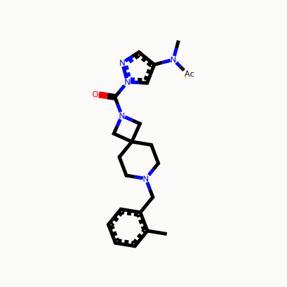 CC(=O)N(C)c1cnn(C(=O)N2CC3(CCN(Cc4ccccc4C)CC3)C2)c1